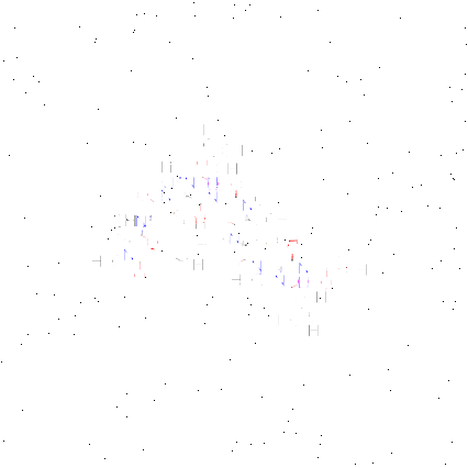 C=CCOC(=O)N(C)[C@@H](CC)C(=O)N(C)[C@@H](CSC)C(=O)N(C)C[C@@H](NC(=O)OC(C)(C)C)C(=O)NCC(=O)N(C)[C@@H](CC)C(=O)N(C)[C@@H](CSC)C(=O)N(C)C[C@@H](NC(=O)OC(C)(C)C)C(=O)NCC(=O)OC